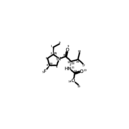 CC[C@@H]1C[C@H](F)CN1C(=O)[C@@H](NC(=O)OC)C(C)C